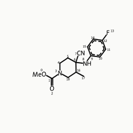 COC(=O)N1CCC(C#N)(Nc2ccc(F)cc2)C(C)C1